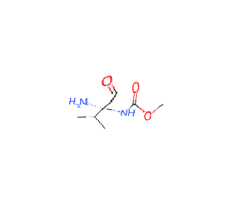 COC(=O)N[C@](N)(C=O)C(C)C